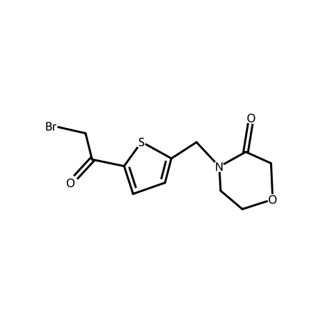 O=C(CBr)c1ccc(CN2CCOCC2=O)s1